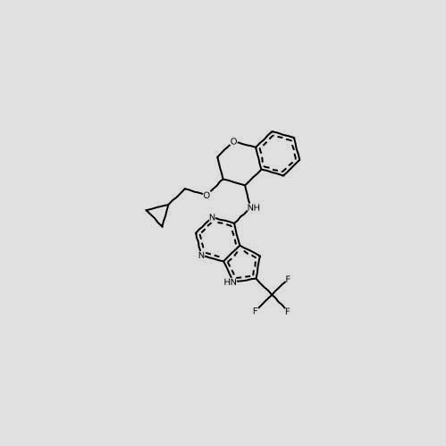 FC(F)(F)c1cc2c(NC3c4ccccc4OCC3OCC3CC3)ncnc2[nH]1